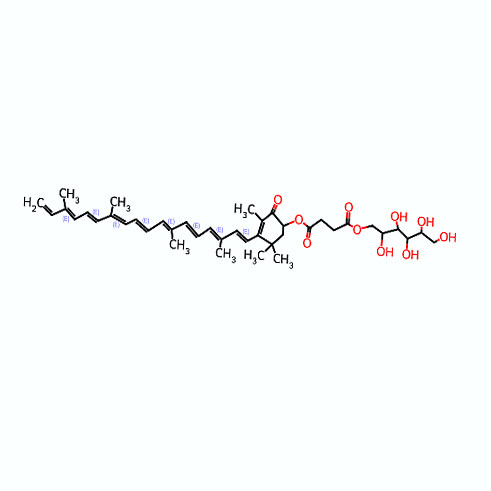 C=C/C(C)=C/C=C/C(C)=C/C=C/C=C(C)/C=C/C=C(C)/C=C/C1=C(C)C(=O)C(OC(=O)CCC(=O)OCC(O)C(O)C(O)C(O)CO)CC1(C)C